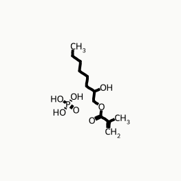 C=C(C)C(=O)OCC(O)CCCCCC.O=P(O)(O)O